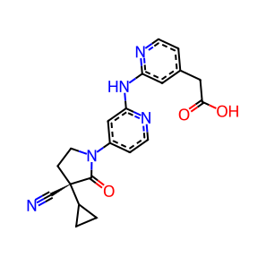 N#C[C@@]1(C2CC2)CCN(c2ccnc(Nc3cc(CC(=O)O)ccn3)c2)C1=O